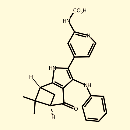 CC1(C)[C@@H]2C[C@H]1C(=O)c1c2[nH]c(-c2ccnc(NC(=O)O)c2)c1Nc1ccccc1